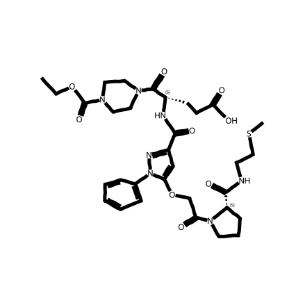 CCOC(=O)N1CCN(C(=O)[C@H](CCC(=O)O)NC(=O)c2cc(OCC(=O)N3CCC[C@H]3C(=O)NCCSC)n(-c3ccccc3)n2)CC1